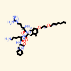 C=CCC/C=C/CO/C=C/COc1cc(C)c(C[C@H](NC(=O)[C@H](N)CCCN=C(N)N)C(=O)NC(CCCCN)C(=O)N[C@@H](Cc2ccccc2)C(N)=O)c(C)c1